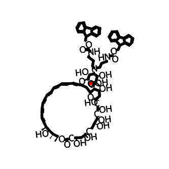 C[C@@H]1[C@H](O)[C@@H](C)/C=C/C=C/C=C/C=C/C=C/C=C/C=C/[C@H](O[C@@H]2O[C@H](C)[C@@H](O)[C@H](N(CCCNC(=O)OCC3c4ccccc4-c4ccccc43)CCCNC(=O)OCC3c4ccccc4-c4ccccc43)[C@@H]2O)CC2O[C@](O)(C[C@@H](O)C[C@@H](O)[C@H](O)CC[C@@H](O)C[C@@H](O)CC(=O)O[C@H]1C)C[C@H](O)[C@H]2C(=O)O